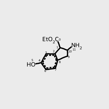 CCOC(=O)C1c2cc(O)ccc2CC1N